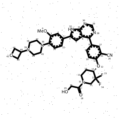 COc1cc(-c2cc3c(-c4ccc(O[C@H]5CCN(C(=O)CO)CC5(F)F)c(C#N)c4)ncnc3[nH]2)ccc1N1CCN(C2COC2)CC1